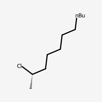 CCCCCCCCC[C@H](C)Cl